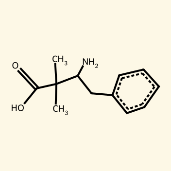 CC(C)(C(=O)O)C(N)Cc1ccccc1